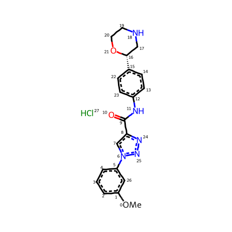 COc1cccc(-n2cc(C(=O)Nc3ccc([C@H]4CNCCO4)cc3)nn2)c1.Cl